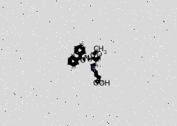 C[C@@H]1OC[C@H](C/C=C\CCCC(=O)O)[C@H](C=NOC(c2ccccc2)c2ccccc2)O1